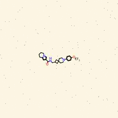 O=C(NCC1CC2(CCN(c3ccc(OC(F)(F)F)cc3)CC2)C1)c1cc2n(c1)CCCC2